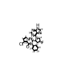 O=c1c2c(Cl)ccn2nc([C@@H]2C[C@@H](F)CN2c2ncnc3[nH]cnc23)n1-c1ccccc1